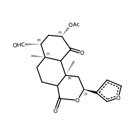 CC(=O)O[C@H]1C[C@@H](C=O)[C@]2(C)CCC3C(=O)O[C@H](c4ccoc4)C[C@]3(C)C2C1=O